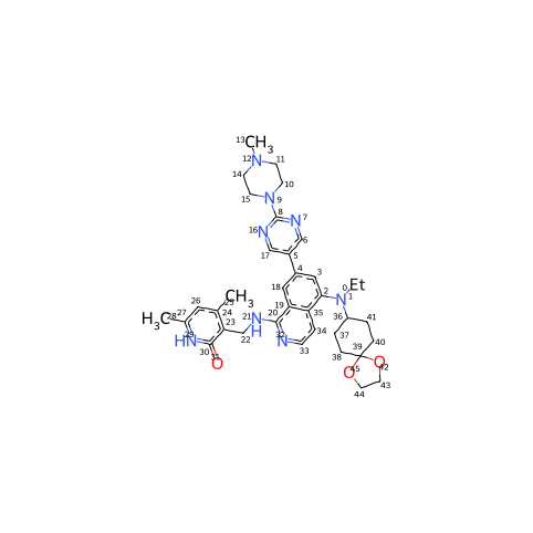 CCN(c1cc(-c2cnc(N3CCN(C)CC3)nc2)cc2c(NCc3c(C)cc(C)[nH]c3=O)nccc12)C1CCC2(CC1)OCCO2